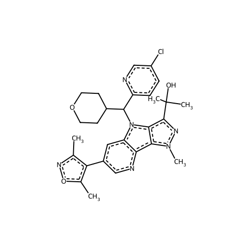 Cc1noc(C)c1-c1cnc2c3c(c(C(C)(C)O)nn3C)n(C(c3ccc(Cl)cn3)C3CCOCC3)c2c1